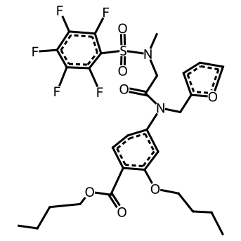 CCCCOC(=O)c1ccc(N(Cc2ccco2)C(=O)CN(C)S(=O)(=O)c2c(F)c(F)c(F)c(F)c2F)cc1OCCCC